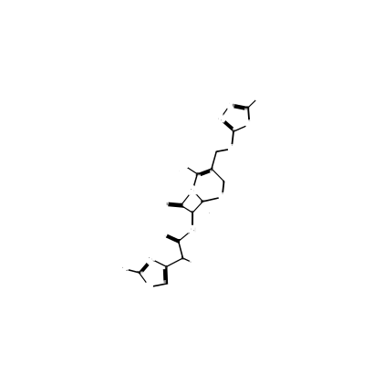 Cc1nnc(SCC2=C(C(=O)O)N3C(=O)C(NC(=O)C(O)c4csc(N)n4)[C@@H]3SC2)s1